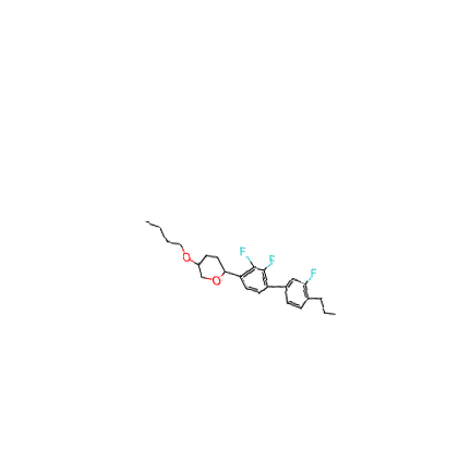 CCCCOC1CCC(c2ccc(-c3ccc(CCC)c(F)c3)c(F)c2F)OC1